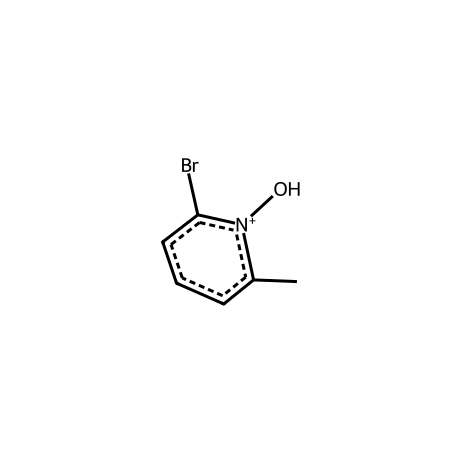 Cc1cccc(Br)[n+]1O